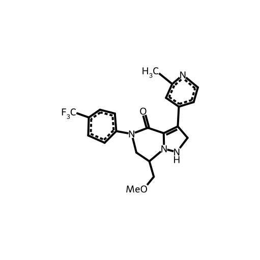 COCC1CN(c2ccc(C(F)(F)F)cc2)C(=O)C2=C(c3ccnc(C)c3)CNN21